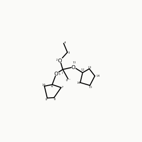 [CH2]C(OCC)(OC1CCCC1)OC1CCCC1